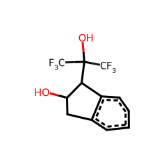 OC1Cc2ccccc2C1C(O)(C(F)(F)F)C(F)(F)F